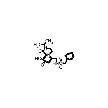 CC(C)N1CCn2c(CNS(=O)(=O)Cc3ccccc3)cc(=O)c(O)c2C1=O